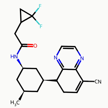 C[C@H]1C[C@@H](NC(=O)CC2CC2(F)F)C[C@@H](C2CC=C(C#N)c3nccnc32)C1